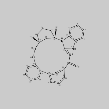 O=C1/N=C2\Nc3ccccc3N2[C@H]2CCC[C@H](C2)OOc2ccccc2-c2cc1ccn2